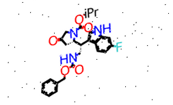 CC(C)OC(=O)N1CC(=O)C[C@H]1[C@@H](CNC(=O)OCc1ccccc1)c1c[nH]c2cc(F)ccc12